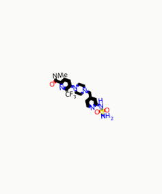 CNC(=O)c1ccc(N2CCN(Cc3ccnc(NS(N)(=O)=O)c3)CC2)c(C(F)(F)F)n1